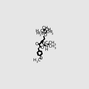 COc1ccc(C[C@H](OC(=O)NC(C)(C)C)C(=O)C#CCCO[Si](C)(C)C(C)(C)C)cc1